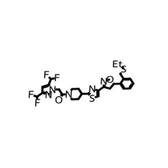 CCSCc1ccccc1C1CC(c2csc(C3CCN(C(=O)Cn4nc(C(F)F)cc4C(F)F)CC3)n2)=NO1